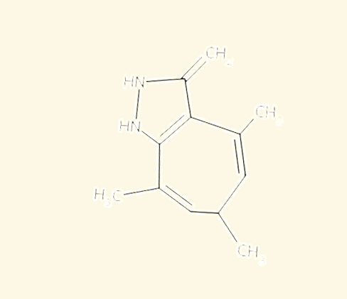 C=C1NNC2=C1C(C)=CC(C)C=C2C